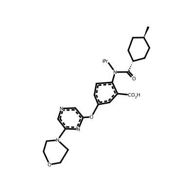 CC(C)N(c1ccc(Oc2cncc(N3CCOCC3)n2)cc1C(=O)O)C(=O)[C@H]1CC[C@H](C)CC1